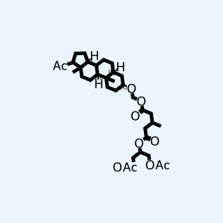 CC(=O)OCC(COC(C)=O)OC(=O)CC(C)CC(=O)OCO[C@@H]1CCC2(C)[C@@H](CCC3[C@@H]4CCC(C(C)=O)C4(C)CC[C@@H]32)C1